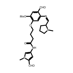 COc1cc(C=O)c(/N=C\C2CCCN2C)cc1OCCCC(=O)Nc1cc(C=O)n(C)c1